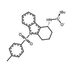 Cc1ccc(S(=O)(=O)n2c3c(c4ccccc42)[C@H](N[S@+]([O-])C(C)(C)C)CCC3)cc1